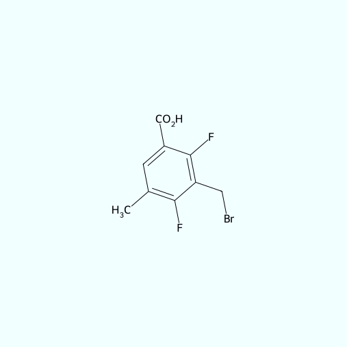 Cc1cc(C(=O)O)c(F)c(CBr)c1F